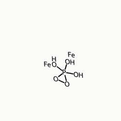 OP1(O)(O)OO1.[Fe].[Fe]